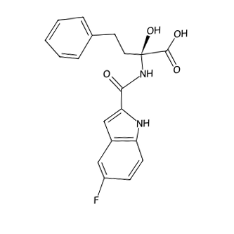 O=C(N[C@](O)(CCc1ccccc1)C(=O)O)c1cc2cc(F)ccc2[nH]1